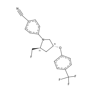 N#Cc1ccc(N2C[C@H](Oc3ccc(C(F)(F)F)cc3)C[C@H]2CF)cc1